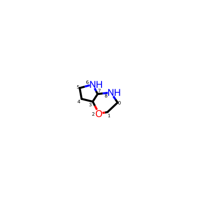 C1COC2CCNC2N1